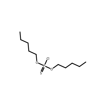 CCCCCOP(=S)(Cl)OCCCCC